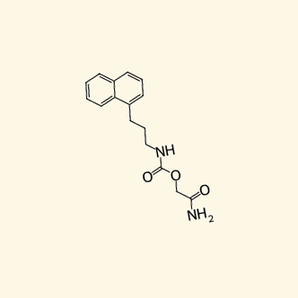 NC(=O)COC(=O)NCCCc1cccc2ccccc12